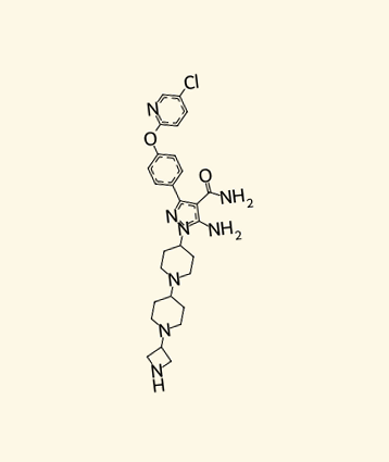 NC(=O)c1c(-c2ccc(Oc3ccc(Cl)cn3)cc2)nn(C2CCN(C3CCN(C4CNC4)CC3)CC2)c1N